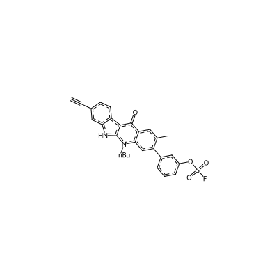 C#Cc1ccc2c(c1)[nH]c1c2c(=O)c2cc(C)c(-c3cccc(OS(=O)(=O)F)c3)cc2n1CCCC